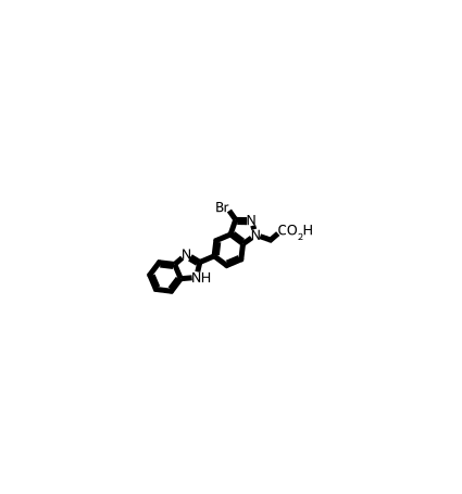 O=C(O)Cn1nc(Br)c2cc(-c3nc4ccccc4[nH]3)ccc21